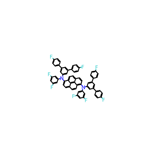 Fc1ccc(-c2cc(-c3ccc(F)cc3)cc(N(c3cc(F)cc(F)c3)c3ccc4ccc5c(N(c6cc(F)cc(F)c6)c6cc(-c7ccc(F)cc7)cc(-c7ccc(F)cc7)c6)ccc6ccc3c4c65)c2)cc1